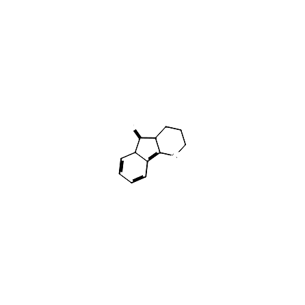 O=C1C2C=CC=CC2=C2NCCCC12